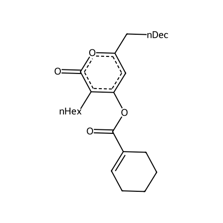 CCCCCCCCCCCc1cc(OC(=O)C2=CCCCC2)c(CCCCCC)c(=O)o1